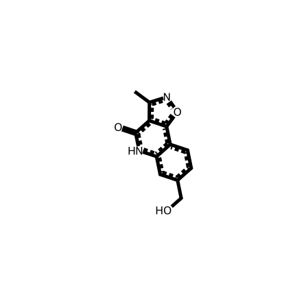 Cc1noc2c1c(=O)[nH]c1cc(CO)ccc12